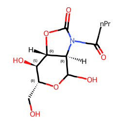 CCCC(=O)N1C(=O)O[C@H]2[C@H](O)[C@@H](CO)OC(O)[C@@H]21